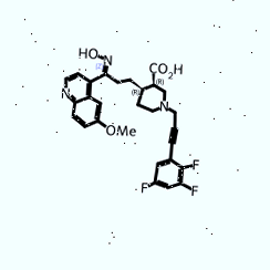 COc1ccc2nccc(/C(CC[C@@H]3CCN(CC#Cc4cc(F)cc(F)c4F)C[C@@H]3C(=O)O)=N\O)c2c1